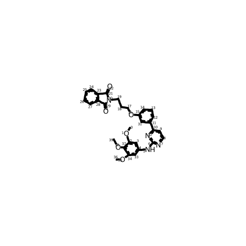 COc1cc(Nc2nccc(-c3cccc(OCCCN4C(=O)c5ccccc5C4=O)c3)n2)cc(OC)c1OC